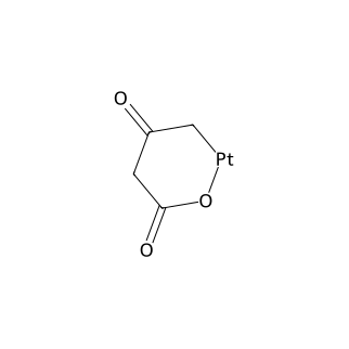 O=C1[CH2][Pt][O]C(=O)C1